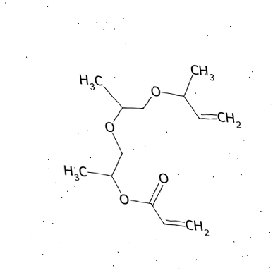 C=CC(=O)OC(C)COC(C)COC(C)C=C